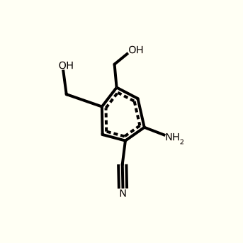 N#Cc1cc(CO)c(CO)cc1N